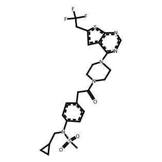 CS(=O)(=O)N(CC1CC1)c1ccc(CC(=O)N2CCN(c3ncnc4sc(CC(F)(F)F)cc34)CC2)cc1